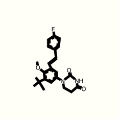 COc1c(C=Cc2ccc(F)cc2)cc(N2CCC(=O)NC2=O)cc1C(C)(C)C